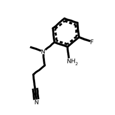 CN(CCC#N)c1cccc(F)c1N